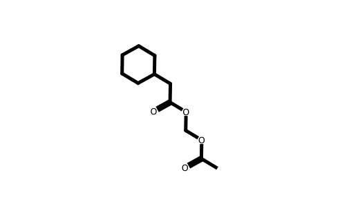 CC(=O)OCOC(=O)CC1CCCCC1